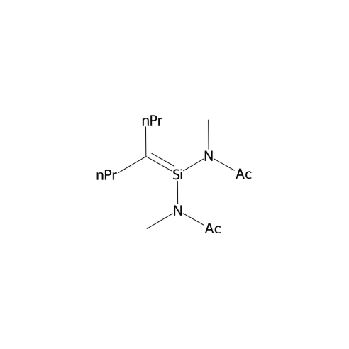 CCCC(CCC)=[Si](N(C)C(C)=O)N(C)C(C)=O